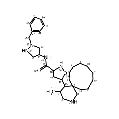 CC1CNCC2(CCCCCCCCC2)C1C1CC(C(=O)NC2CNN(Cc3ccccc3)C2)NO1